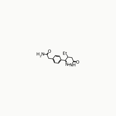 CCC1CC(=O)NN=C1c1ccc(CC(N)=O)cc1